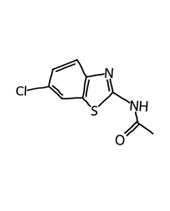 CC(=O)Nc1nc2ccc(Cl)cc2s1